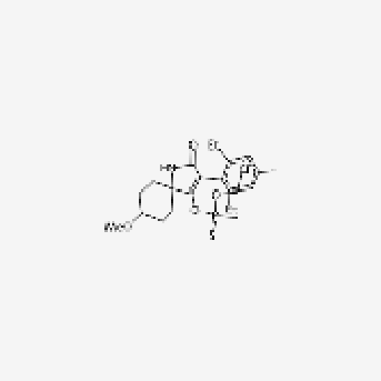 CCc1cc(C)cc(CC)c1C1=C(OP(C)(=S)OCC(F)(F)F)C2(CCC(OC)CC2)NC1=O